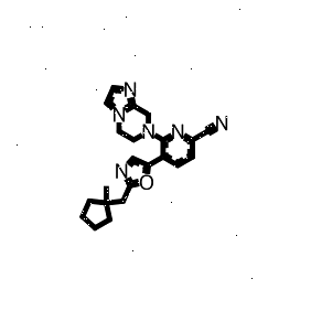 CC1(Cc2ncc(-c3ccc(C#N)nc3N3CCn4ccnc4C3)o2)CCCC1